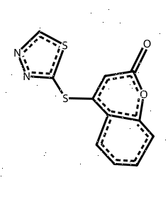 O=c1cc(Sc2nncs2)c2ccccc2o1